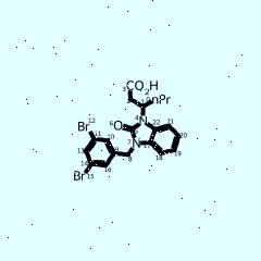 CCCC(CC(=O)O)n1c(=O)n(Cc2cc(Br)cc(Br)c2)c2ccccc21